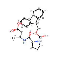 C[C@H](CC(=O)O)NC(=O)[C@@H]1CCCN1C(=O)OCC1c2ccccc2-c2ccccc21